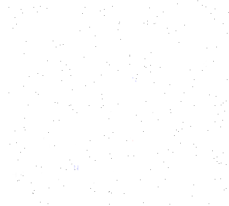 CCCC(C)CN1CCC(OC2CCN(CC(C)C)CC2)CC1